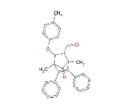 Cc1ccc(OC2C(C=O)C3(C)C(=O)C2(C)C(c2ccccc2)=C3c2ccccc2)cc1